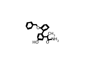 CC(C(N)=O)c1cc(O)ccc1-c1ccccc1OCc1ccccc1